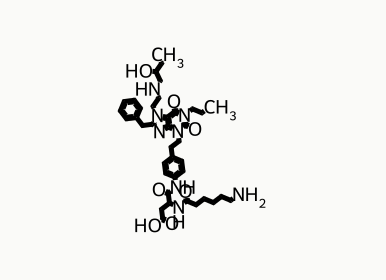 CCCn1c(=O)c2c(nc(Cc3ccccc3)n2CCNCC(O)CC)n(CCc2ccc(NC(=O)C(CC(=O)O)NC(=O)CCCCCN)cc2)c1=O